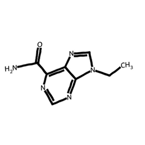 CCn1cnc2c(C(N)=O)ncnc21